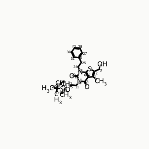 Cc1c(CO)sc2c1c(=O)n(CCO[Si](C)(C)C(C)(C)C)c(=O)n2CCc1ccccc1